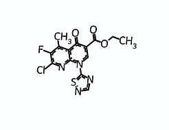 CCOC(=O)c1cn(-c2ncns2)c2nc(Cl)c(F)c(C)c2c1=O